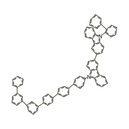 c1ccc(-c2cccc(-c3cccc(-c4ccc(-c5ccc(-c6ccc(-n7c8ccccc8c8cc(-c9ccc%10c(c9)c9ccccc9n%10-c9ccccc9-c9ccccc9)ccc87)cc6)cc5)cc4)c3)c2)cc1